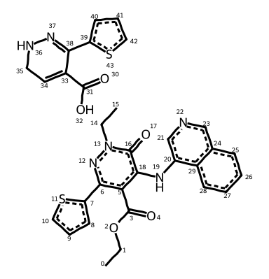 CCOC(=O)c1c(-c2cccs2)nn(CC)c(=O)c1Nc1cncc2ccccc12.O=C(O)C1=CCNN=C1c1cccs1